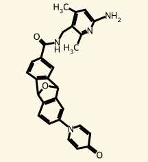 Cc1cc(N)nc(C)c1CNC(=O)c1ccc2c(c1)C1OC2c2ccc(-n3ccc(=O)cc3)cc21